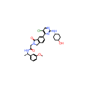 COc1cccc([C@@H](C)NC(=O)CN2Cc3ccc(-c4nc(N[C@H]5CC[C@H](O)CC5)ncc4Cl)cc3C2=O)c1